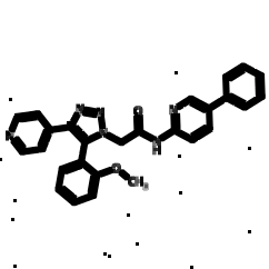 COc1ccccc1-c1c(-c2ccncc2)nnn1CC(=O)Nc1ccc(-c2ccccc2)cn1